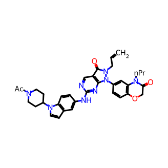 C=CCn1c(=O)c2cnc(Nc3ccc4c(ccn4C4CCN(C(C)=O)CC4)c3)nc2n1-c1ccc2c(c1)N(CCC)C(=O)CO2